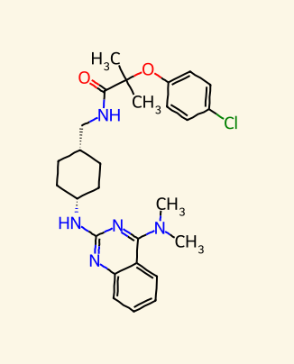 CN(C)c1nc(N[C@H]2CC[C@@H](CNC(=O)C(C)(C)Oc3ccc(Cl)cc3)CC2)nc2ccccc12